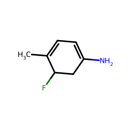 CC1=CC=C(N)CC1F